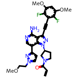 C=CC(=O)N1CC[C@H](n2nc(C#Cc3c(F)c(OC)cc(OC)c3F)c3c(N)ncc(-c4ccn(CCOC)n4)c32)C1